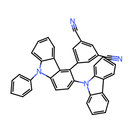 N#Cc1cc(C#N)cc(-c2c(-n3c4ccccc4c4ccccc43)ccc3c2c2ccccc2n3-c2ccccc2)c1